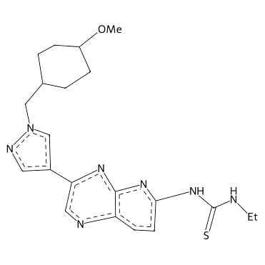 CCNC(=S)Nc1ccc2ncc(-c3cnn(CC4CCC(OC)CC4)c3)nc2n1